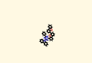 c1ccc(-c2nc(-c3cccc4c3oc3c(-c5cccc6c5oc5ccccc56)cccc34)nc(-n3c4ccccc4c4ccccc43)n2)cc1